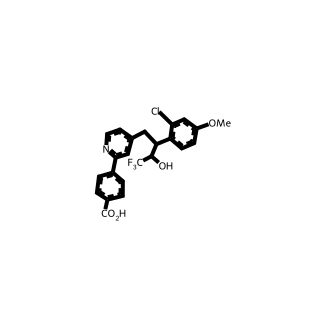 COc1ccc(C(Cc2ccnc(-c3ccc(C(=O)O)cc3)c2)C(O)C(F)(F)F)c(Cl)c1